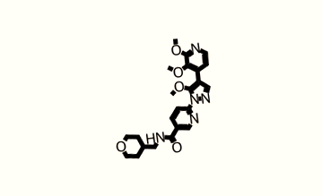 COc1nccc(-c2cnn(-c3ccc(C(=O)NCC4CCOCC4)cn3)c2OC)c1OC